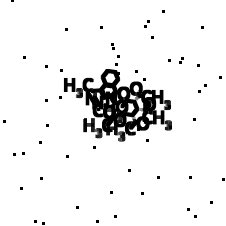 CC(=O)O[C@@H]1O[C@H](Oc2nc3c(c(C)nn3C)c3c2CCCC3)[C@H](C(C)=O)[C@H](C(C)=O)[C@@H]1C(C)=O